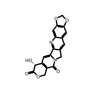 O=C1OCc2c(cc3n(c2=O)Cc2cc4cc5c(cc4nc2-3)OCO5)[C@H]1O